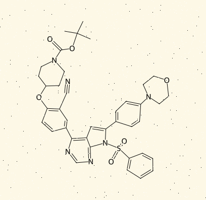 CC(C)(C)OC(=O)N1CCC(Oc2ccc(-c3ncnc4c3cc(-c3ccc(N5CCOCC5)cc3)n4S(=O)(=O)c3ccccc3)cc2C#N)CC1